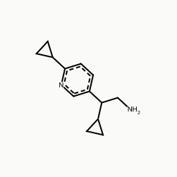 NCC(c1ccc(C2CC2)nc1)C1CC1